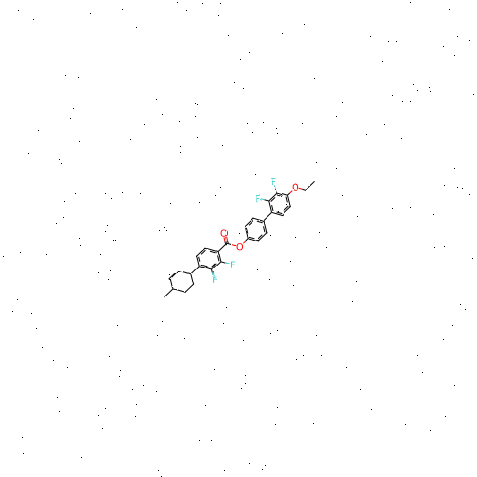 CCOc1ccc(-c2ccc(OC(=O)c3ccc(C4CCC(C)CC4)c(F)c3F)cc2)c(F)c1F